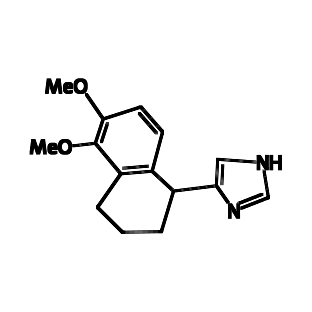 COc1ccc2c(c1OC)CCCC2c1c[nH]cn1